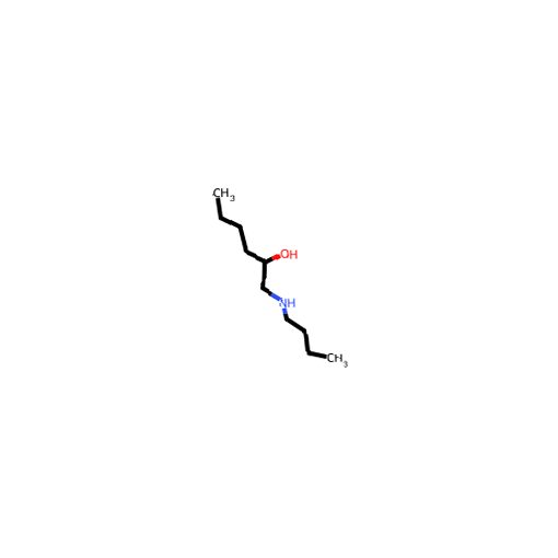 CCCCNCC(O)CCCC